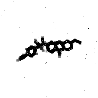 CCC1CCc2c(sc3cc(N(C)S(=O)(=O)c4ccc(C#N)cc4)ccc3c2=O)C1